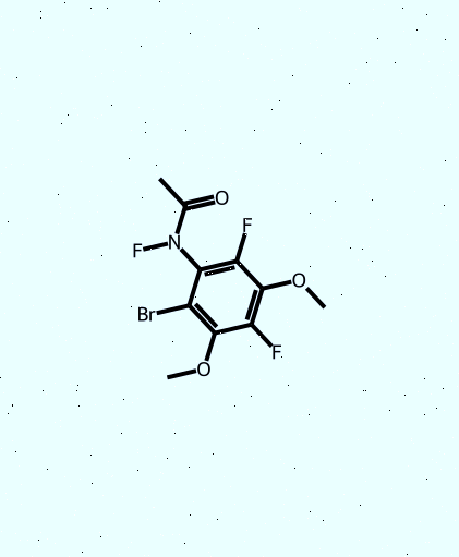 COc1c(F)c(OC)c(Br)c(N(F)C(C)=O)c1F